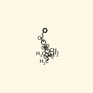 C=CC(=O)NC1C(C)(C)CN(S(=O)(=O)C2CCN(C(=O)CCc3ccccc3)CC2)CC1(C)C